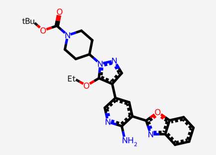 CCOc1c(-c2cnc(N)c(-c3nc4ccccc4o3)c2)cnn1C1CCN(C(=O)OC(C)(C)C)CC1